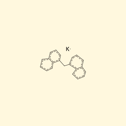 [K].c1ccc2c(Cc3cccc4ccccc34)cccc2c1